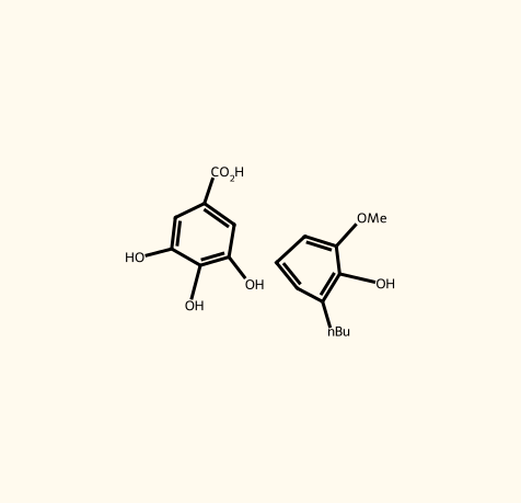 CCCCc1cccc(OC)c1O.O=C(O)c1cc(O)c(O)c(O)c1